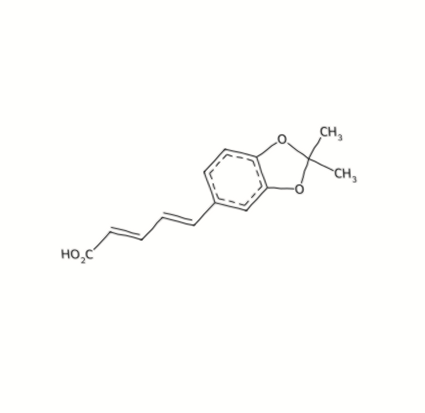 CC1(C)Oc2ccc(C=CC=CC(=O)O)cc2O1